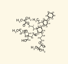 C=C(C)C(=O)OCCCc1cc(-c2ccc(-c3ccccc3)cc2CC)cc(CCCOC(=O)C(=C)C)c1OCCC(CO)(CO)CCCCC